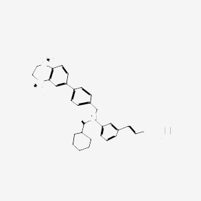 O=C(O)C=Cc1cccc(N(Cc2ccc(-c3ccc4c(c3)S(=O)(=O)CCS4(=O)=O)cc2)C(=O)C2CCCCC2)c1